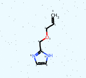 C=CCOCc1ncc[nH]1